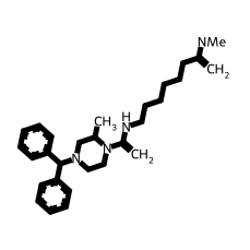 C=C(CCCCCCNC(=C)N1CCN(C(c2ccccc2)c2ccccc2)CC1C)NC